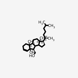 CC(C)CCC[C@@H](C)[C@H]1CCC2C3C(CC[C@@]21C)[C@@]1(C)CCC=C[C@@]1(O)[C@@H]3CO